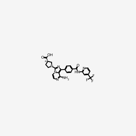 Nc1nccn2c(N3CC[C@@H](C(=O)O)C3)nc(-c3ccc(C(=O)Nc4cc(C(F)(F)F)ccn4)cc3)c12